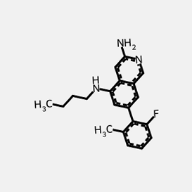 CCCCNc1cc(-c2c(C)cccc2F)cc2cnc(N)cc12